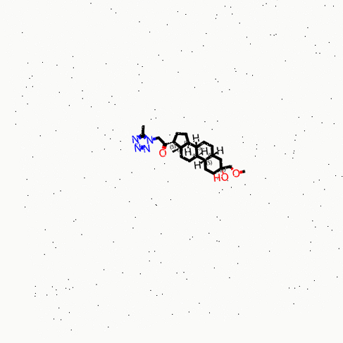 COC[C@@]1(O)CC[C@H]2[C@H](CC[C@@H]3[C@@H]2CC[C@]2(C)[C@@H](C(=O)Cn4nnnc4C)CC[C@@H]32)C1